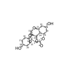 O=C1CC(=O)Oc2cc(O)cc3oc(c(-c4ccc(O)cc4)c(=O)c23)O1